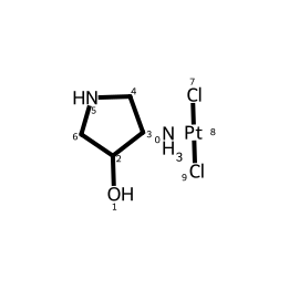 N.OC1CCNC1.[Cl][Pt][Cl]